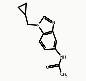 CC(=O)Nc1ccc2c(c1)ncn2CC1CC1